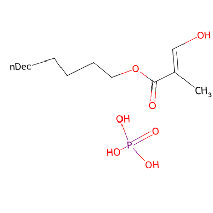 CCCCCCCCCCCCCCOC(=O)C(C)=CO.O=P(O)(O)O